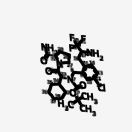 CC(C)(C)OC(=O)N(Cc1cc(Cl)ccc1CC(N)C(F)(F)F)[C@@H](C(=O)N1CCC[C@H]1C(N)=O)C1CCCCC1